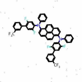 Fc1cc(N(c2ccccc2)c2ccc3ccc4c(N(c5ccccc5)c5cc(F)c(-c6cccc(C(F)(F)F)c6)cc5F)ccc5ccc2c3c54)c(F)cc1-c1cccc(C(F)(F)F)c1